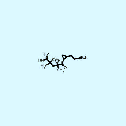 C#CCCC1CC1C(=O)C(C)(C)CC(C)(C)C(C)=N